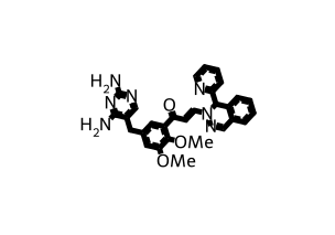 COc1cc(Cc2cnc(N)nc2N)cc(C(=O)/C=C/N2N=Cc3ccccc3C2c2ccccn2)c1OC